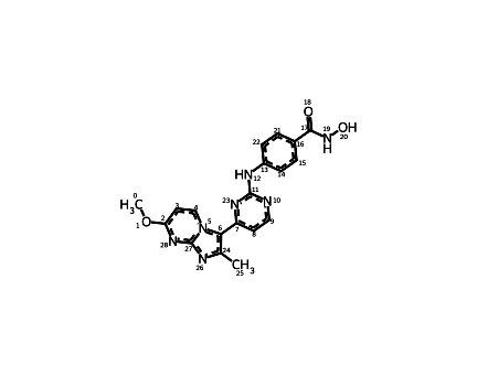 COc1ccn2c(-c3ccnc(Nc4ccc(C(=O)NO)cc4)n3)c(C)nc2n1